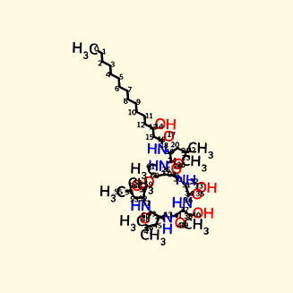 CCCCCCCCCCCCCC(O)CC(=O)NC(CC(C)C)C(=O)N[C@@H]1C(=O)N[C@H](CO)C(=O)N[C@@H]([C@H](C)O)C(=O)NC(CC(C)C)C(=O)NC(CC(C)C)C(=O)O[C@H]1C